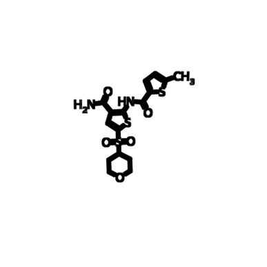 Cc1ccc(C(=O)Nc2sc(S(=O)(=O)C3CCOCC3)cc2C(N)=O)s1